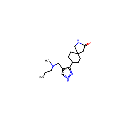 CNCCN(C)Cc1c[nH]nc1C1CCC2(CC1)CNC(=O)C2